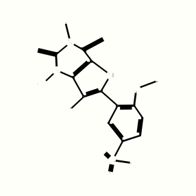 CCCn1c(=O)n(C)c(=O)c2[nH]c(-c3cc(S(=O)(=O)Cl)ccc3OCC)c(I)c21